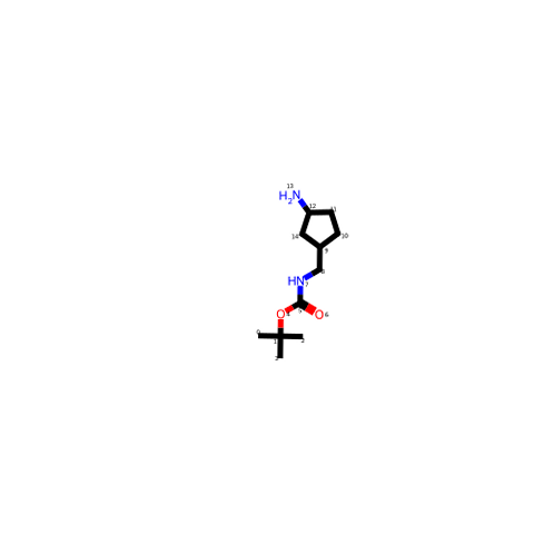 CC(C)(C)OC(=O)NCC1CCC(N)C1